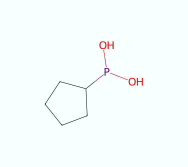 OP(O)C1CCCC1